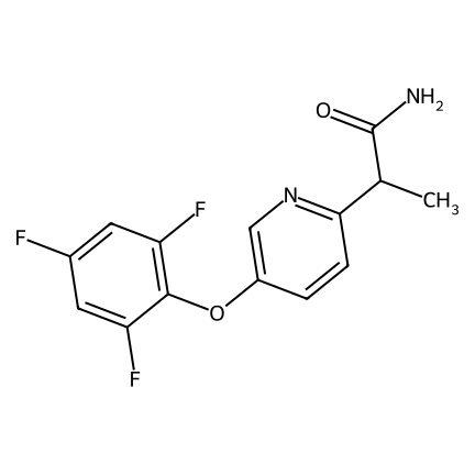 CC(C(N)=O)c1ccc(Oc2c(F)cc(F)cc2F)cn1